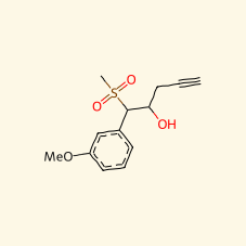 C#CCC(O)C(c1cccc(OC)c1)S(C)(=O)=O